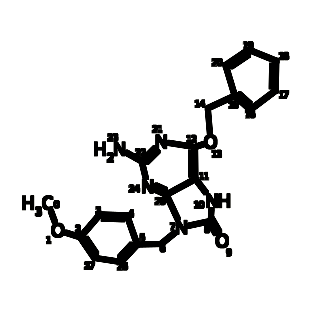 COc1ccc(Cn2c(=O)[nH]c3c(OCc4ccccc4)nc(N)nc32)cc1